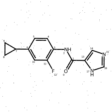 O=C(Nc1ccc(C2CC2)cc1F)c1cnc[nH]1